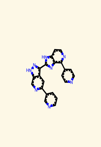 c1cncc(-c2cc3c(-c4nc5c(-c6ccncc6)nccc5[nH]4)n[nH]c3cn2)c1